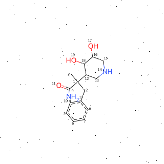 CC(Cc1ccccc1)(C(N)=O)C1CNCC(O)C1O